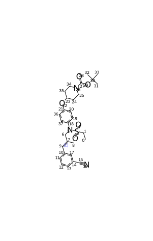 CCS(=O)(=O)N(C/C(C)=C/c1cccc(C#N)c1)c1ccc(OC2CCN(C(=O)OC(C)(C)C)CC2)cc1